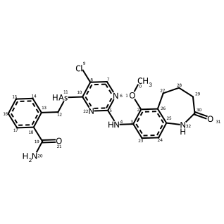 COc1c(Nc2ncc(Cl)c([AsH]Cc3ccccc3C(N)=O)n2)ccc2c1CCCC(=O)N2